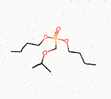 CCCCOP(=O)(COC(C)C)OCCCC